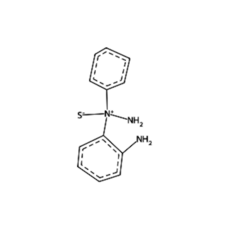 Nc1ccccc1[N+](N)([S-])c1ccccc1